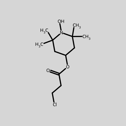 CC1(C)CC(OC(=O)CCCl)CC(C)(C)N1O